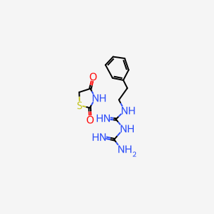 N=C(N)NC(=N)NCCc1ccccc1.O=C1CSC(=O)N1